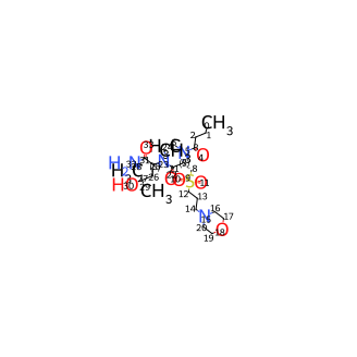 CCCC(=O)N(C)[C@H](CS(=O)(=O)CCCN1CCOCC1)C(=O)N(C)[C@@H](CC(C)(C)O)C(N)=O